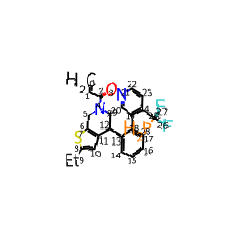 C=CC(=O)N1Cc2sc(CC)cc2C(c2ccccc2-c2cnccc2C(F)(F)P)C1